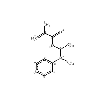 C=C(C)C(=O)OC(C)N(C)c1ccncc1